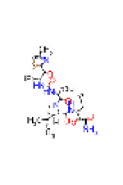 Cc1csc(C(=O)[C@@H](NC(=O)N[C@H](C(=O)N2CC3[C@@H]([C@H]2C(=O)NC(CC2CC2)C(=O)C(N)=O)C3(C)C)C(C)(C)C)C(C)C)n1